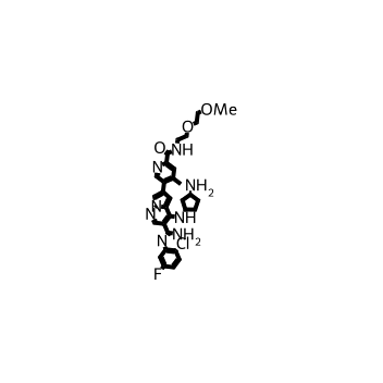 COCCOCCNC(=O)c1cc(C)c(-c2cc3c(N[C@@H]4CC[C@H](N)C4)c(/C(N)=N/c4cc(F)ccc4Cl)cnn3c2)cn1